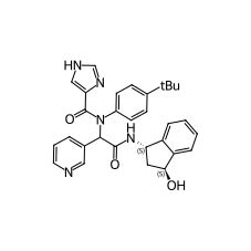 CC(C)(C)c1ccc(N(C(=O)c2c[nH]cn2)C(C(=O)N[C@H]2C[C@H](O)c3ccccc32)c2cccnc2)cc1